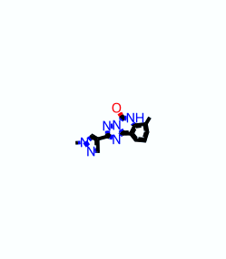 Cc1cccc2c1[nH]c(=O)n1nc(-c3cnn(C)c3)nc21